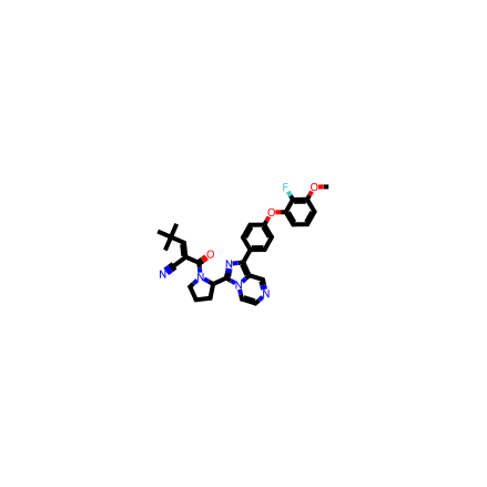 COc1cccc(Oc2ccc(-c3nc(C4CCCN4C(=O)/C(C#N)=C/C(C)(C)C)n4ccncc34)cc2)c1F